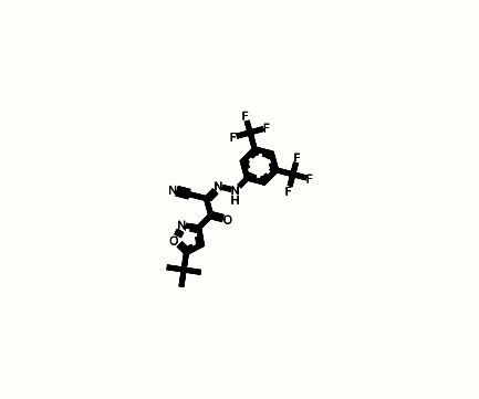 CC(C)(C)c1cc(C(=O)C(C#N)=NNc2cc(C(F)(F)F)cc(C(F)(F)F)c2)no1